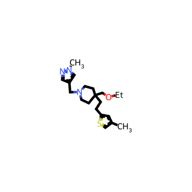 CCOCC1(CCc2cc(C)cs2)CCN(Cc2cnn(C)c2)CC1